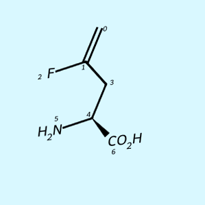 C=C(F)C[C@H](N)C(=O)O